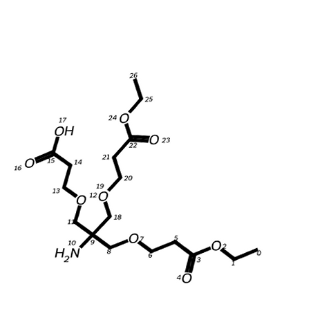 CCOC(=O)CCOCC(N)(COCCC(=O)O)COCCC(=O)OCC